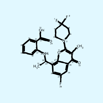 Cc1c(N2CCC(F)(F)CC2)oc2c([C@@H](C)Nc3ccccc3C(=O)O)cc(F)cc2c1=O